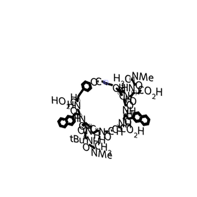 CN[C@@H](C)C(=O)N[C@@H](CC(=O)O)C(=O)N1C[C@@H]2C[C@H]1C(=O)N[C@@H](Cc1ccc3ccccc3c1)C(=O)N[C@H](C(=O)O)CCC(=O)N[C@H]1C[C@@H](C(=O)N[C@@H](Cc3ccc4ccccc4c3)C(=O)N[C@H](C(=O)O)Cc3ccc(cc3)OC/C=C/CO2)N(C(=O)[C@@H](NC(=O)[C@H](C)NC)C(C)(C)C)C1